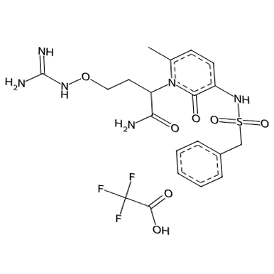 Cc1ccc(NS(=O)(=O)Cc2ccccc2)c(=O)n1C(CCONC(=N)N)C(N)=O.O=C(O)C(F)(F)F